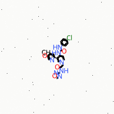 COc1ccc([C@@H]2CN(CC(=O)Nc3ncon3)CC[C@H]2NC(=O)Nc2ccc(Cl)cc2)nc1